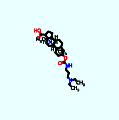 CCN(CC)CCCNC(=O)OC1CC[C@@]2(C)C(CC[C@@H]3[C@H]2CC[C@]2(C)C(C(=O)O)CC[C@@]32N)C1